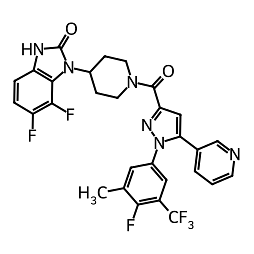 Cc1cc(-n2nc(C(=O)N3CCC(n4c(=O)[nH]c5ccc(F)c(F)c54)CC3)cc2-c2cccnc2)cc(C(F)(F)F)c1F